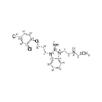 CCNCCn1c(=N)n(CCCOc2ccc(Cl)cc2Cl)c2ccccc21